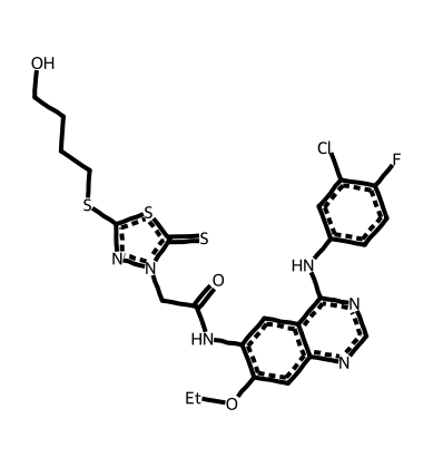 CCOc1cc2ncnc(Nc3ccc(F)c(Cl)c3)c2cc1NC(=O)Cn1nc(SCCCCO)sc1=S